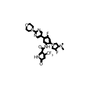 CN(C)C1CN(c2cc(F)c(-c3cnc(N4CCOCC4)nc3)cc2NC(=O)c2c[nH]c(=O)cc2C(F)(F)F)CC1F